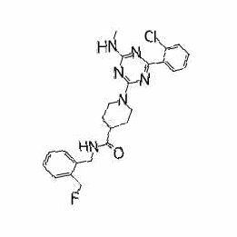 CNc1nc(-c2ccccc2Cl)nc(N2CCC(C(=O)NCc3ccccc3CF)CC2)n1